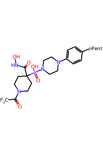 CCCCCc1ccc(N2CCN(I(=O)(O)C3(C(=O)NO)CCN(C(=O)C(F)(F)F)CC3)CC2)cc1